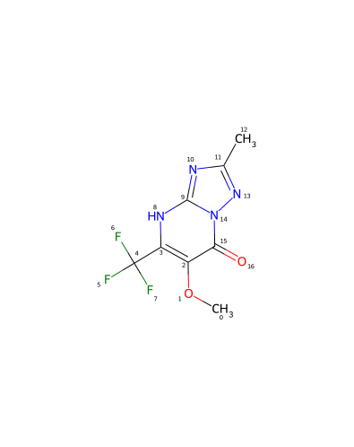 COc1c(C(F)(F)F)[nH]c2nc(C)nn2c1=O